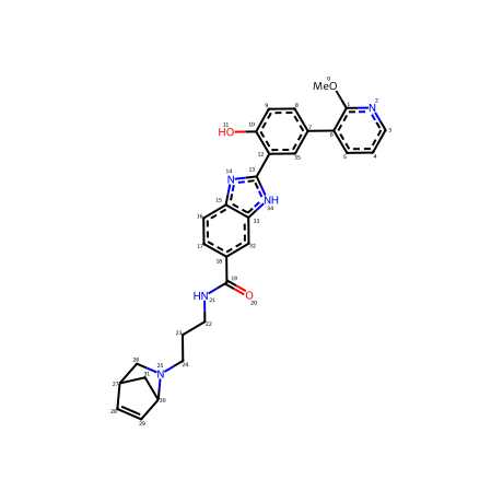 COc1ncccc1-c1ccc(O)c(-c2nc3ccc(C(=O)NCCCN4CC5C=CC4C5)cc3[nH]2)c1